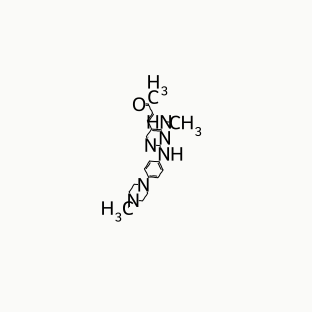 CNc1nc(Nc2ccc(N3CCN(C)CC3)cc2)ncc1C=CC(C)=O